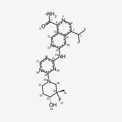 CC(C)c1cnc(C(N)=O)c2cnc(Nc3ccnc(N4CC[C@@H](O)[C@@](C)(F)C4)n3)cc12